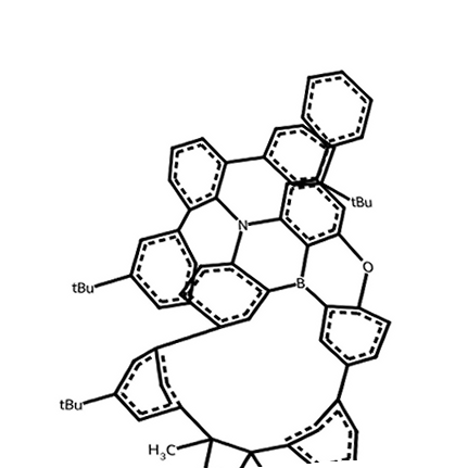 CC(C)(C)c1cccc(-c2cccc(-c3cccc(C(C)(C)C)c3)c2N2c3ccc4cc3B3c5cc(ccc5Oc5cc(-c6ccccc6)cc2c53)-c2cc(C(C)(C)C)cc(c2)C(C)(C)C(C)(C)c2cc-4cc(C(C)(C)C)c2)c1